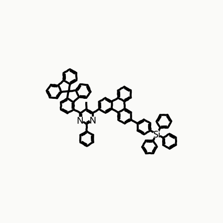 Cc1c(-c2ccc3c4ccccc4c4cc(-c5ccc([Si](c6ccccc6)(c6ccccc6)c6ccccc6)cc5)ccc4c3c2)nc(-c2ccccc2)nc1-c1cccc2c1-c1ccccc1C21c2ccccc2-c2ccccc21